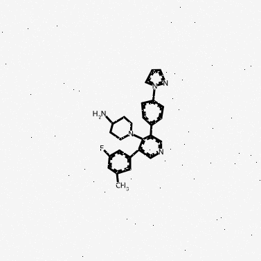 Cc1cc(F)cc(-c2cncc(-c3ccc(-n4cccn4)cc3)c2N2CCC(N)CC2)c1